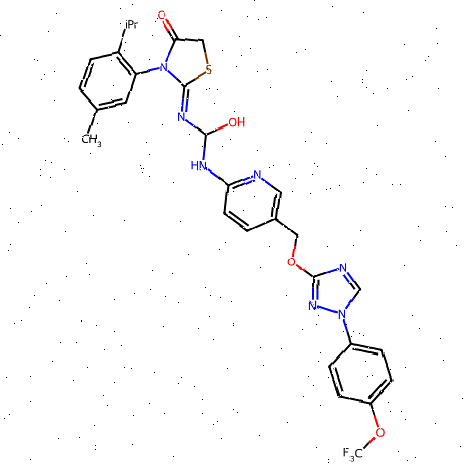 Cc1ccc(C(C)C)c(N2C(=O)CS/C2=N\C(O)Nc2ccc(COc3ncn(-c4ccc(OC(F)(F)F)cc4)n3)cn2)c1